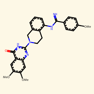 COc1ccc(C(=N)Nc2cccc3c2CCN(c2nc4cc(OC)c(OC)cc4c(=O)[nH]2)C3)cc1